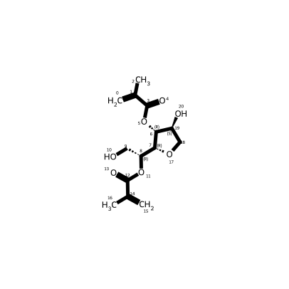 C=C(C)C(=O)O[C@H]1[C@@H]([C@@H](CO)OC(=O)C(=C)C)OC[C@@H]1O